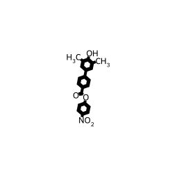 Cc1cc(-c2ccc(C(=O)Oc3ccc([N+](=O)[O-])cc3)cc2)cc(C)c1O